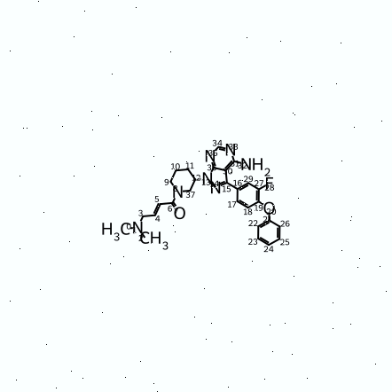 CN(C)C/C=C/C(=O)N1CCC[C@H](n2nc(-c3ccc(Oc4ccccc4)c(F)c3)c3c(N)ncnc32)C1